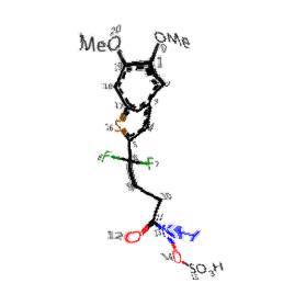 COc1cc2cc(C(F)(F)CCC(=O)NOS(=O)(=O)O)sc2cc1OC